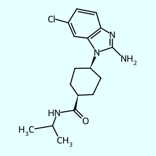 CC(C)NC(=O)[C@H]1CC[C@@H](n2c(N)nc3ccc(Cl)cc32)CC1